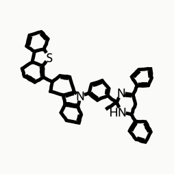 CC1(c2cccc(-n3c4c(c5c3C=CC(C3=C6SC7C=CC=CC7C6CC=C3)C5)CCC=C4)c2)N=C(c2ccccc2)CC(c2ccccc2)N1